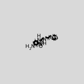 Nc1ccc(NCCNCCCN2CCOCC2)c([N+](=O)[O-])c1